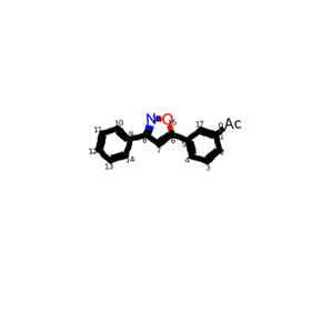 CC(=O)c1cccc(-c2cc(-c3ccccc3)no2)c1